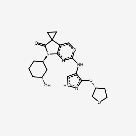 O=C1N([C@@H]2CCC[C@@H](O)C2)c2nc(Nc3c[nH]nc3O[C@@H]3CCOC3)ncc2C12CC2